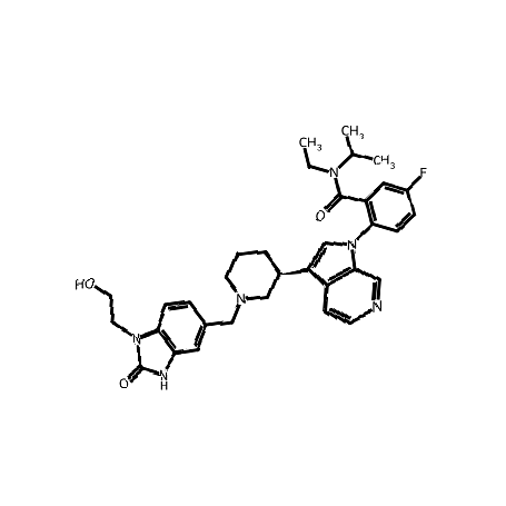 CCN(C(=O)c1cc(F)ccc1-n1cc([C@@H]2CCCN(Cc3ccc4c(c3)[nH]c(=O)n4CCO)C2)c2ccncc21)C(C)C